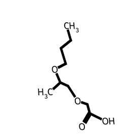 CCCCOC(C)COCC(=O)O